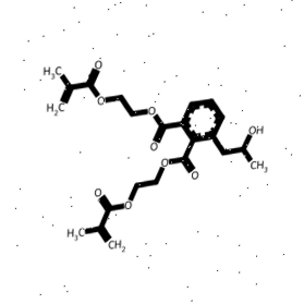 C=C(C)C(=O)OCCOC(=O)c1cccc(CC(C)O)c1C(=O)OCCOC(=O)C(=C)C